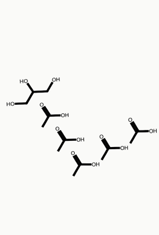 CC(=O)O.CC(=O)O.CC(=O)O.CC(=O)O.CC(=O)O.OCC(O)CO